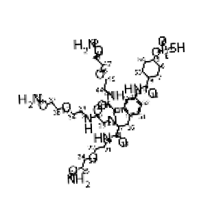 CP(=O)(S)OC1CCC(C(=O)Nc2ccc(CC(C(=O)NCCOCCON)N(CC(=O)NCCOCCON)CC(=O)NCCOCCON)cc2)CC1